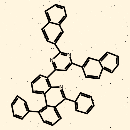 c1ccc(-c2nc3c(-c4cc(-c5ccc6ccccc6c5)nc(-c5ccc6ccccc6c5)n4)cccc3c3c(-c4ccccc4)cccc23)cc1